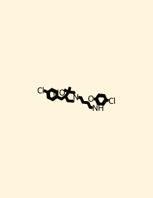 CC1(C)CN(CCC2CNc3cc(Cl)ccc3O2)CCC1(O)Cc1ccc(Cl)cc1